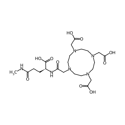 CNC(=O)CC[C@H](NC(=O)CN1CCN(CC(=O)O)CCN(CC(=O)O)CCN(CC(=O)O)CC1)C(=O)O